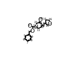 O=C(OCc1ccccc1)N1CCN(C2CCOC2)C(=O)C1